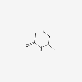 CC(CI)NC(=O)I